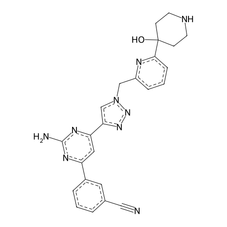 N#Cc1cccc(-c2cc(-c3cn(Cc4cccc(C5(O)CCNCC5)n4)nn3)nc(N)n2)c1